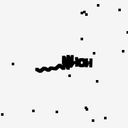 CCCCCCCCn1cc(C(C)(C)O)nn1